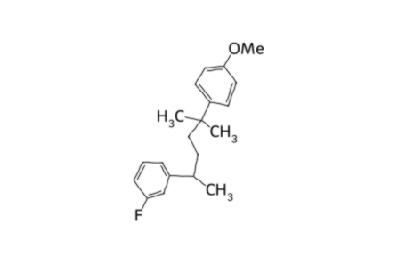 COc1ccc(C(C)(C)CCC(C)c2cccc(F)c2)cc1